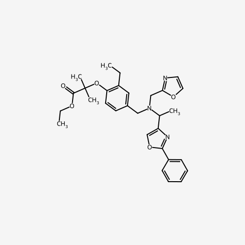 CCOC(=O)C(C)(C)Oc1ccc(CN(Cc2ncco2)C(C)c2coc(-c3ccccc3)n2)cc1CC